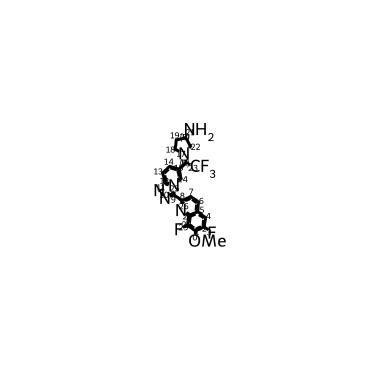 COc1c(F)cc2ccc(-c3nnc4ccc([C@@H](N5CC[C@H](N)C5)C(F)(F)F)cn34)nc2c1F